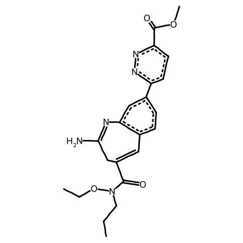 CCCN(OCC)C(=O)C1=Cc2ccc(-c3ccc(C(=O)OC)nn3)cc2N=C(N)C1